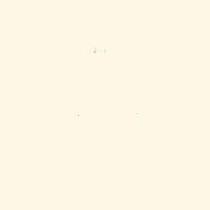 CCCCSc1cccc(CCC)c1